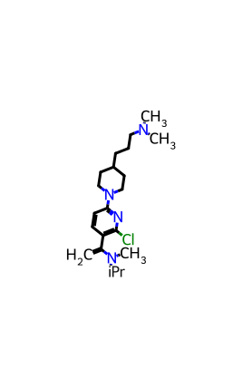 C=C(c1ccc(N2CCC(CCCN(C)C)CC2)nc1Cl)N(C)C(C)C